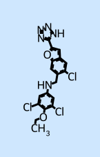 CCOc1c(Cl)cc(NCc2cc3oc(-c4nnn[nH]4)cc3cc2Cl)cc1Cl